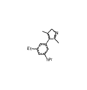 CCCc1cc(CC)cc(C2=C(C)CN=C2C)c1